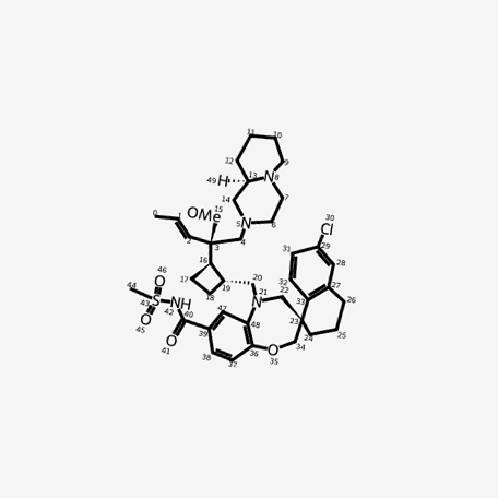 C/C=C/[C@@](CN1CCN2CCCC[C@@H]2C1)(OC)[C@@H]1CC[C@H]1CN1C[C@@]2(CCCc3cc(Cl)ccc32)COc2ccc(C(=O)NS(C)(=O)=O)cc21